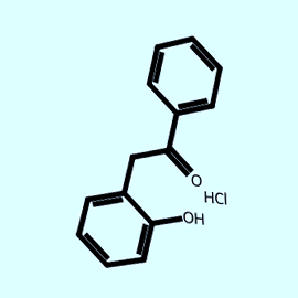 Cl.O=C(Cc1ccccc1O)c1ccccc1